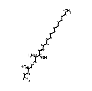 CCCCCCCCCCCCCC=CC(O)C(N)COCC(O)CCC